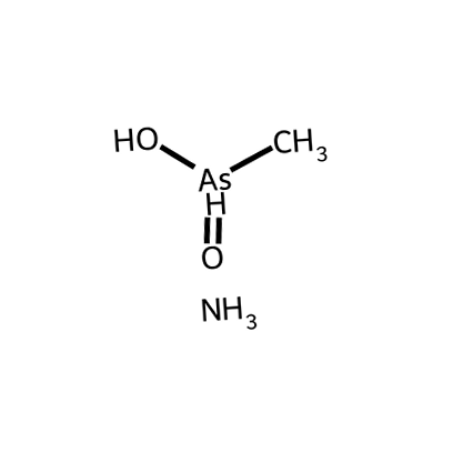 C[AsH](=O)O.N